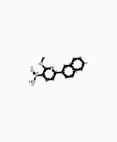 COc1nc(-c2ccc3ccccc3c2)ccc1S(=O)O